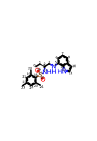 CC[C@@H](CNc1cccc2cc[nH]c12)NS(=O)(=O)c1c(C)cc(C)cc1C